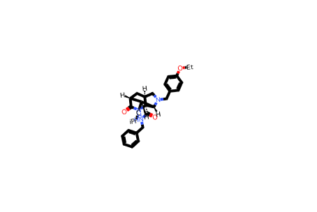 CCOc1ccc(CN2C[C@@H]3C[C@H]4C(=O)N[C@]3(C(=O)NCc3ccccc3)[C@@H]2[C@@H]4CC(C)C)cc1